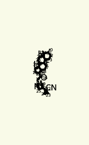 C[C@H]1CC[C@]2(F)C3CC[C@@]4(C)C(CC[C@@H]4C(=O)Cn4cc(C5(C#N)CC5)cn4)[C@@H]3CC[C@@H]2C1